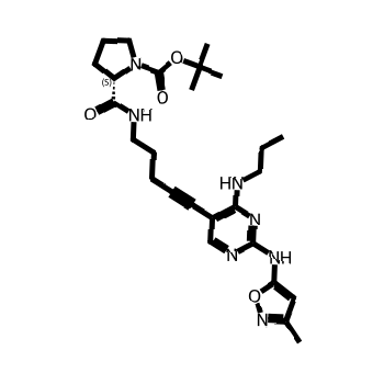 CCCNc1nc(Nc2cc(C)no2)ncc1C#CCCCNC(=O)[C@@H]1CCCN1C(=O)OC(C)(C)C